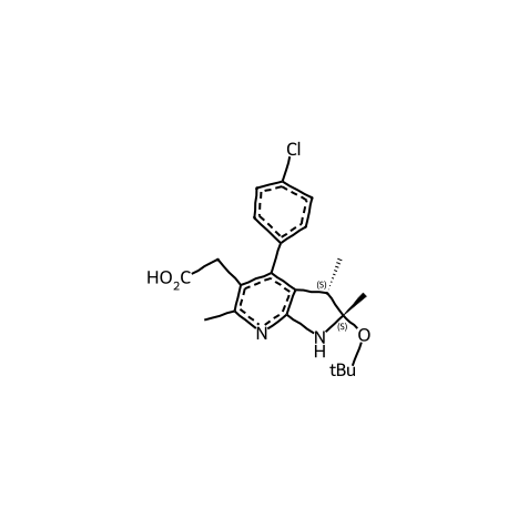 Cc1nc2c(c(-c3ccc(Cl)cc3)c1CC(=O)O)[C@H](C)[C@](C)(OC(C)(C)C)N2